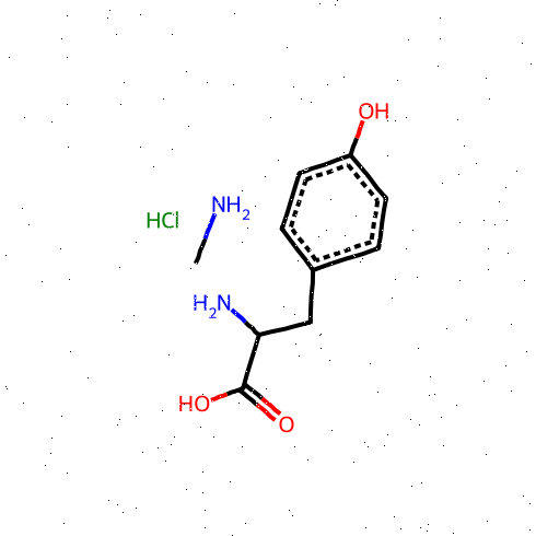 CN.Cl.NC(Cc1ccc(O)cc1)C(=O)O